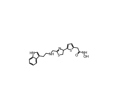 O=C(Cc1ccc(C2CSC(CNCCc3c[nH]c4ccccc34)=N2)s1)NO